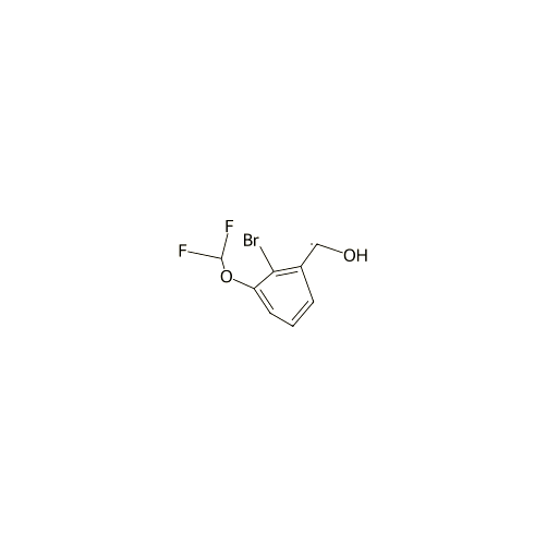 O[CH]c1cccc(OC(F)F)c1Br